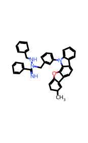 CC1C=c2c(oc3c2ccc2c4ccccc4n(-c4cccc(CN(NCc5ccccc5)C(=N)c5ccccc5)c4)c23)=CC1